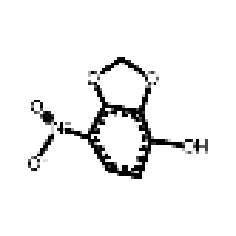 O=[N+]([O-])c1ccc(O)c2c1OCO2